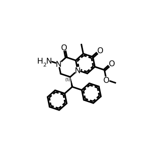 COC(=O)c1cn2c(c(C)c1=O)C(=O)N(N)C[C@@H]2C(c1ccccc1)c1ccccc1